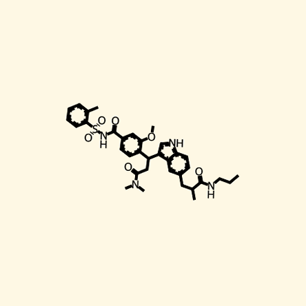 CCCNC(=O)C(C)Cc1ccc2[nH]cc(C(CC(=O)N(C)C)c3ccc(C(=O)NS(=O)(=O)c4ccccc4C)cc3OC)c2c1